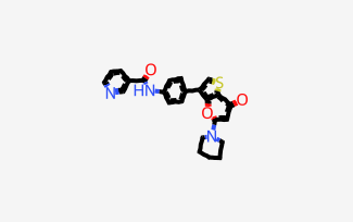 O=C(Nc1ccc(-c2csc3c(=O)cc(N4CCCCC4)oc23)cc1)c1cccnc1